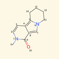 Cn1ccc2c3n(cc2c1=O)CCCC3